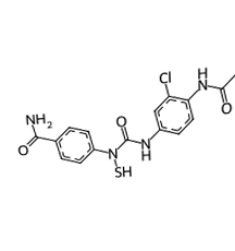 CC(=O)Nc1ccc(NC(=O)N(S)c2ccc(C(N)=O)cc2)cc1Cl